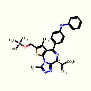 Cc1c(CO[Si](C)(C)C(C)(C)C)sc2c1C(c1ccc(Nc3ccccc3)cc1)=N[C@@H](C(C)C(=O)O)c1nnc(C)n1-2